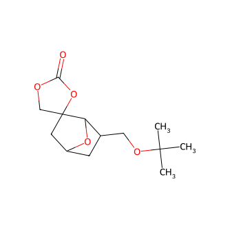 CC(C)(C)OCC1CC2CC3(COC(=O)O3)C1O2